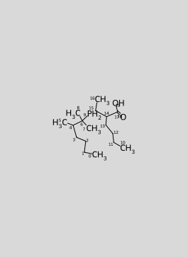 CCCCC(C)C(C)(C)P.CCCCC(CC)C(=O)O